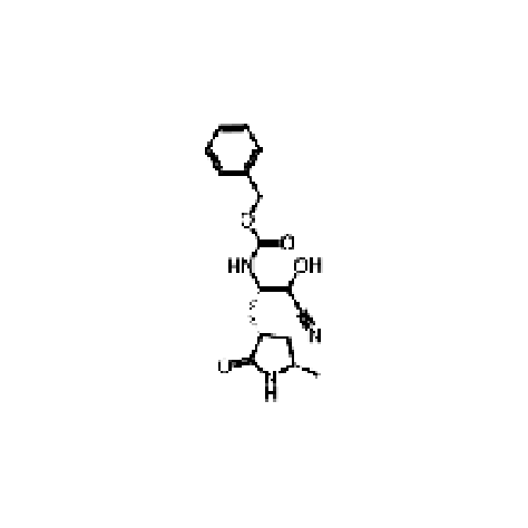 C[C@@H]1C[C@@H](C[C@H](NC(=O)OCc2ccccc2)C(O)C#N)C(=O)N1